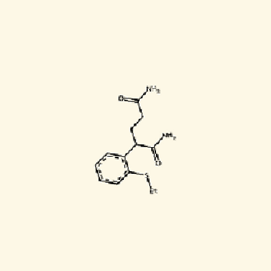 CCSc1ccccc1C(CCC(N)=O)C(N)=O